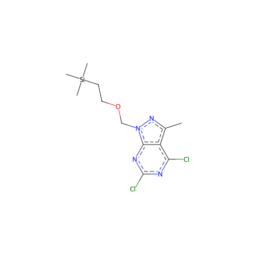 Cc1nn(COCC[Si](C)(C)C)c2nc(Cl)nc(Cl)c12